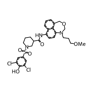 COCCCN1COCc2cccc3c(NC(=O)C4CCCN(S(=O)(=O)c5cc(Cl)c(O)c(Cl)c5)C4)ccc1c23